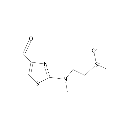 CN(CC[S+](C)[O-])c1nc(C=O)cs1